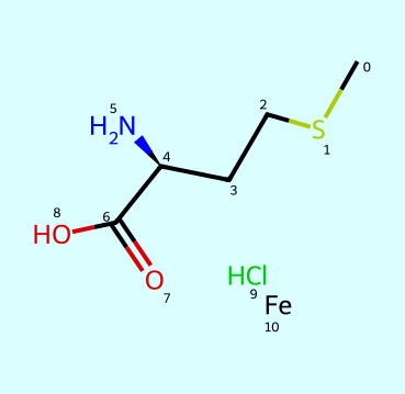 CSCC[C@H](N)C(=O)O.Cl.[Fe]